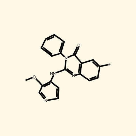 COc1cnccc1Nc1nc2ccc(F)cc2c(=O)n1-c1ccccc1